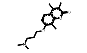 Cc1c(C)c2ccc(OCCCN(C)C)c(C)c2oc1=O